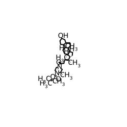 C[C@H](CCC(=O)N1CCN(C(=O)OC(C)(C)C)[C@@H](C)C1)[C@H]1CC[C@H]2[C@@H]3CC=C4C[C@@H](O)CC[C@]4(C)[C@H]3CC[C@]12C